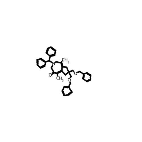 CC1=C2CC(COCc3ccccc3)(COCc3ccccc3)CC2=C(C)C(=O)CN(C(c2ccccc2)c2ccccc2)C1